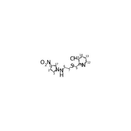 O=[N+]([O-])c1ccn(NCCSCc2ncccc2Cl)c1